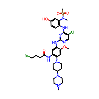 COc1cc(N2CCC(N3CCN(C)CC3)CC2)c(NC(=O)CCCBr)cc1Nc1ncc(Cl)c(Nc2ccc(O)cc2N(C)S(C)(=O)=O)n1